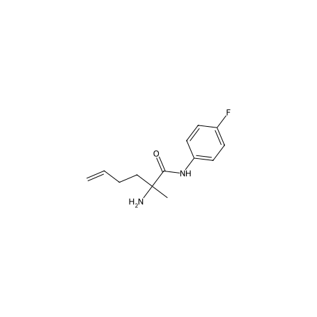 C=CCCC(C)(N)C(=O)Nc1ccc(F)cc1